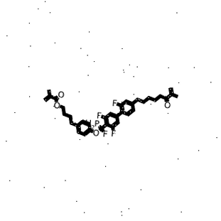 C=C(C)C(=O)CCCCCc1ccc(-c2cc(F)c(C(F)(P)Oc3ccc(CCCCOC(=O)C(=C)C)cc3)c(F)c2)c(F)c1